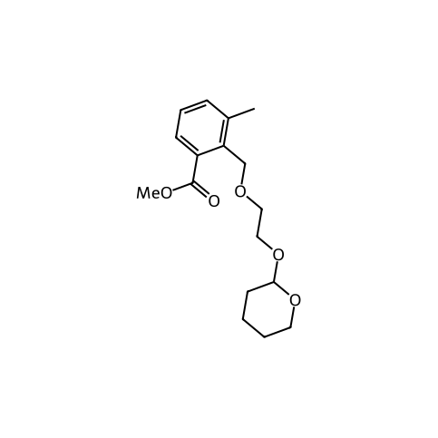 COC(=O)c1cccc(C)c1COCCOC1CCCCO1